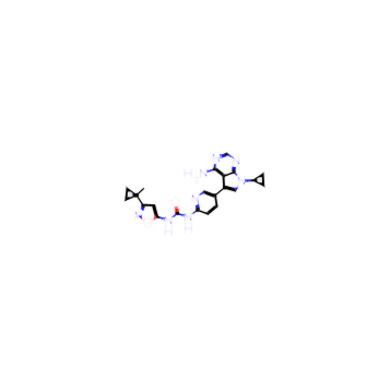 CC1(c2cc(NC(=O)Nc3ccc(-c4cn(C5CC5)c5ncnc(N)c45)cn3)on2)CC1